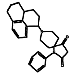 O=C1CC(=O)C2(CCN(C3CCC4CCCc5cccc3c54)CC2)N1c1ccccc1